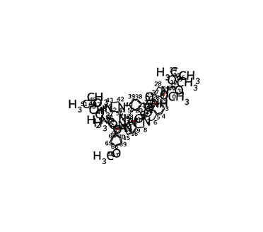 COc1ccc(CN(Cc2ccc(OC)cc2)S(=O)(=O)c2c(S(=O)(=O)NC3CCN(C(=O)OC(C)(C)C)C3)ccc(N3CCN(C(=O)OC(C)(C)C)C(C(N)=O)C3)c2-c2nnn(Cc3ccc(OC)cc3)n2)cc1